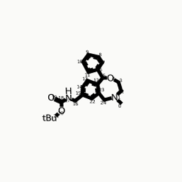 CN1CCOC(c2ccccc2)c2ccc(CNC(=O)OC(C)(C)C)cc2C1